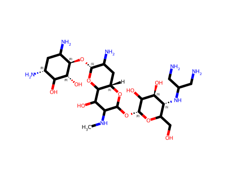 CNC1C(O[C@H]2OC(CO)[C@@H](NC(CN)CN)[C@H](O)C2O)O[C@H]2CC(N)[C@@H](O[C@@H]3C(N)C[C@@H](N)C(O)[C@H]3O)OC2C1O